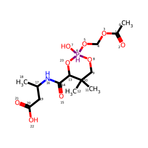 CC(=O)OCO[PH]1(O)OCC(C)(C)C(C(=O)NC(C)CC(=O)O)O1